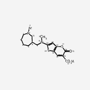 CC(=O)N1CCCCC(CN(C)c2cc3oc(=O)c(C(=O)O)cc3s2)C1